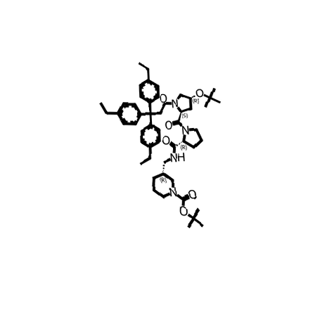 CCc1ccc(C(CC(=O)N2C[C@H](OC(C)(C)C)C[C@H]2C(=O)N2CCC[C@@H]2C(=O)NC[C@H]2CCCN(C(=O)OC(C)(C)C)C2)(c2ccc(CC)cc2)c2ccc(CC)cc2)cc1